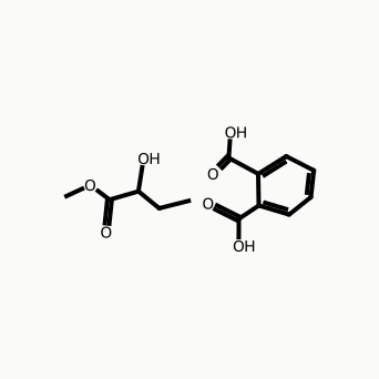 CCC(O)C(=O)OC.O=C(O)c1ccccc1C(=O)O